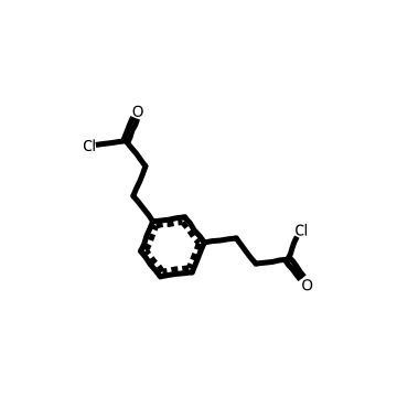 O=C(Cl)CCc1cccc(CCC(=O)Cl)c1